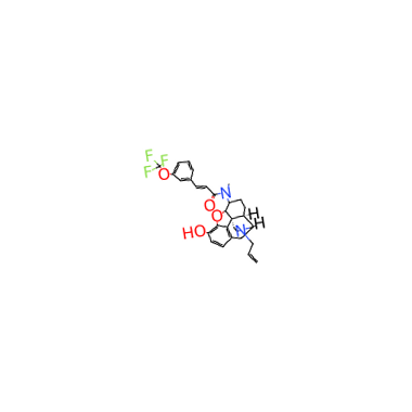 C=CCN1CC[C@]23c4c5ccc(O)c4OC2C(N(C)C(=O)/C=C/c2cccc(OC(F)(F)F)c2)CC[C@H]3[C@H]1C5